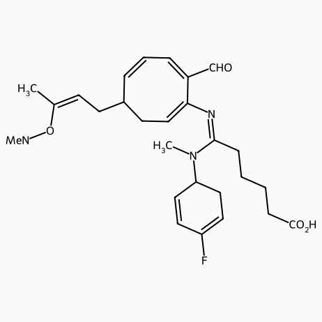 CNO/C(C)=C\CC1C=C/C=C(/C=O)C(/N=C(/CCCCC(=O)O)N(C)C2C=CC(F)=CC2)=CC1